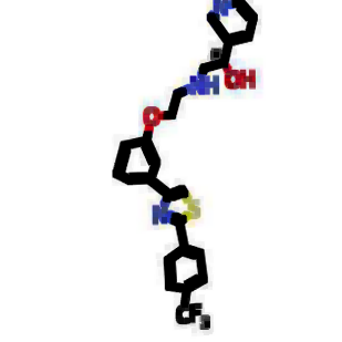 O[C@@H](CNCCOc1cccc(-c2csc(-c3ccc(C(F)(F)F)cc3)n2)c1)c1cccnc1